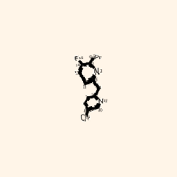 CC(C)c1nc(Cc2ccc(Cl)cn2)ccc1F